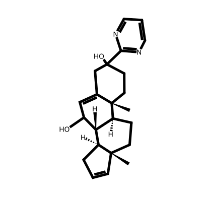 C[C@@]12C=CC[C@H]1[C@@H]1C(O)C=C3CC(O)(c4ncccn4)CC[C@]3(C)[C@H]1CC2